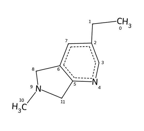 CCc1cnc2c(c1)CN(C)C2